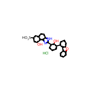 Cl.O=S(=O)(O)c1cc(O)c2c(ccc3[nH]c(-c4cccc(-c5cccc6oc7ccccc7c56)c4O)nc32)c1